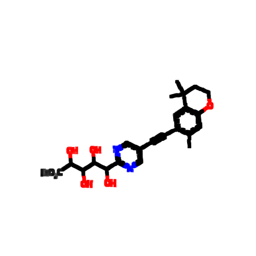 CCOC(=O)C(O)C(O)C(O)C(O)c1ncc(C#Cc2cc3c(cc2C)OCCC3(C)C)cn1